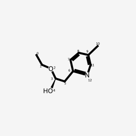 CCO[C@H](O)Cc1ccc(C)cn1